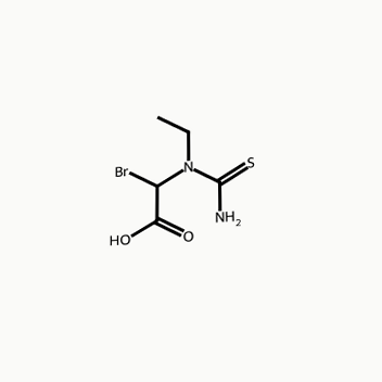 CCN(C(N)=S)C(Br)C(=O)O